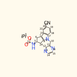 CC(C)OC(=O)NC1Cc2c(n(Cc3cnccn3)c3ccc(C#N)cc23)C1